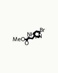 COC(=O)[C@@H](N)Cc1ccc(Br)nc1